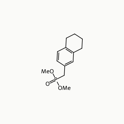 COP(=O)(Cc1ccc2c(c1)CCCC2)OC